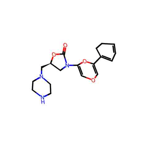 O=C1O[C@H](CN2CCNCC2)CN1C1=COC=C(C2=CC=CCC2)O1